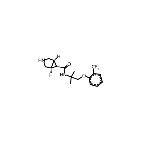 CC(C)(COc1ccccc1C(F)(F)F)NC(=O)[C@H]1[C@@H]2CNC[C@@H]21